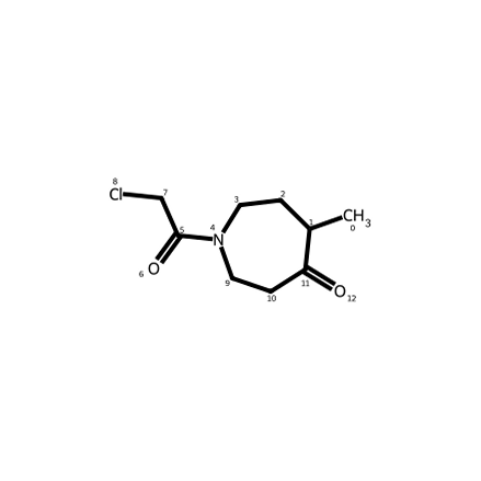 CC1CCN(C(=O)CCl)CCC1=O